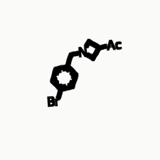 CC(=O)C1CN(Cc2ccc(Br)cc2)C1